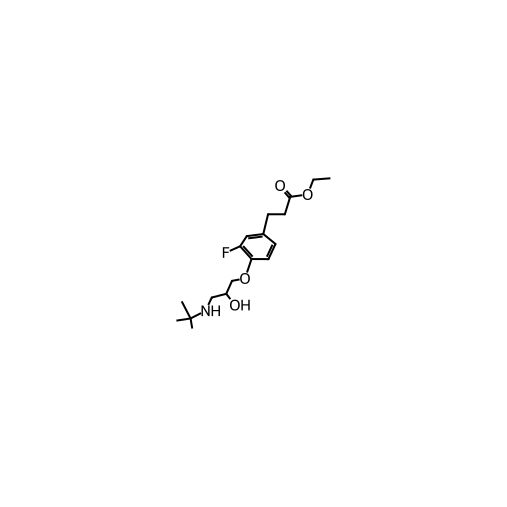 CCOC(=O)CCc1ccc(OCC(O)CNC(C)(C)C)c(F)c1